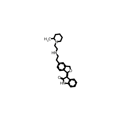 CC1CCCCN1CCNCCc1ccc2c(c1)COC2=C1C(=O)Nc2ccccc21